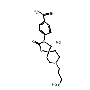 Cl.N=C(N)c1ccc(N2CC3(CCN(CCCC(=O)O)CC3)OC2=O)cc1